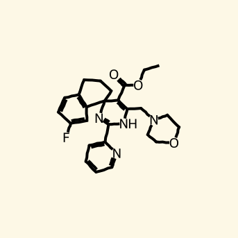 CCOC(=O)C1=C(CN2CCOCC2)NC(c2ccccn2)=NC12CCCc1ccc(F)cc12